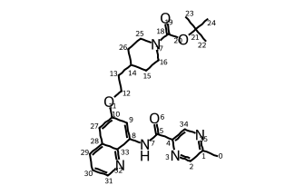 Cc1cnc(C(=O)Nc2cc(OCCC3CCN(C(=O)OC(C)(C)C)CC3)cc3cccnc23)cn1